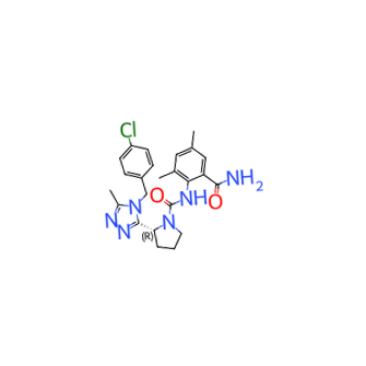 Cc1cc(C)c(NC(=O)N2CCC[C@@H]2c2nnc(C)n2Cc2ccc(Cl)cc2)c(C(N)=O)c1